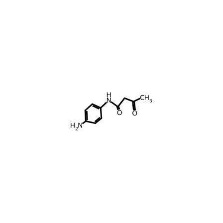 CC(=O)CC(=O)Nc1ccc(N)cc1